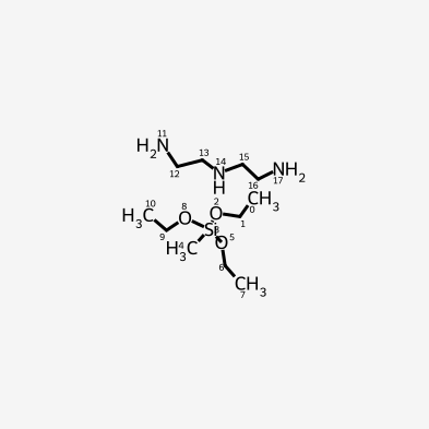 CCO[Si](C)(OCC)OCC.NCCNCCN